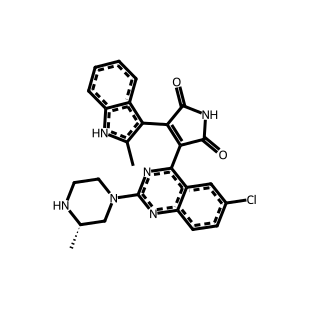 Cc1[nH]c2ccccc2c1C1=C(c2nc(N3CCN[C@@H](C)C3)nc3ccc(Cl)cc23)C(=O)NC1=O